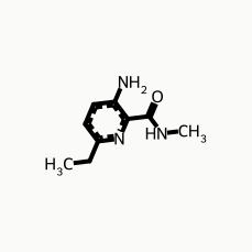 CCc1ccc(N)c(C(=O)NC)n1